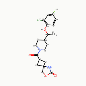 O=C1NC2(CO1)CC(C(=O)N1CCC(C(Oc3ccc(F)cc3Cl)C(F)(F)F)CC1)C2